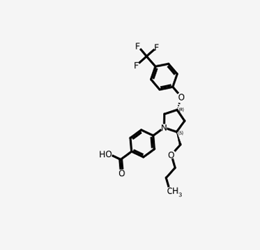 CCCOC[C@@H]1C[C@@H](Oc2ccc(C(F)(F)F)cc2)CN1c1ccc(C(=O)O)cc1